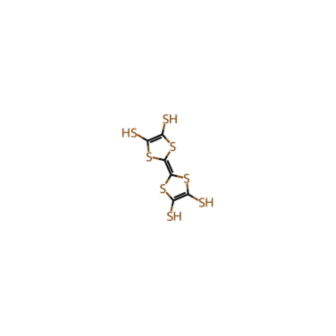 SC1=C(S)SC(=C2SC(S)=C(S)S2)S1